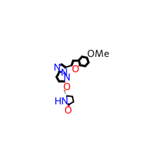 COc1ccc2oc(-c3cnc4ccc(OC[C@@H]5CCC(=O)N5)nn34)cc2c1